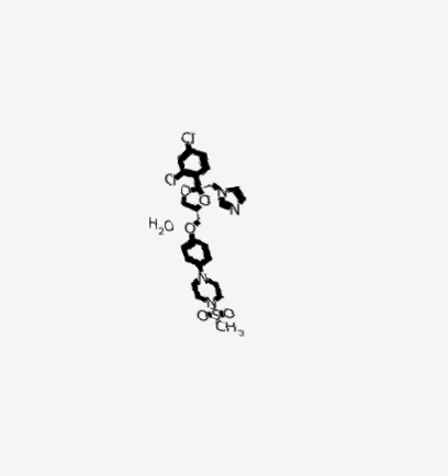 CS(=O)(=O)N1CCN(c2ccc(OC[C@@H]3CO[C@@](Cn4ccnc4)(c4ccc(Cl)cc4Cl)O3)cc2)CC1.O